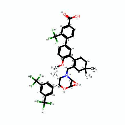 COc1ccc(-c2ccc(C(=O)O)cc2C(F)(F)F)cc1C1=C(CN2C3OC3O[C@H](c3cc(C(F)(F)F)cc(C(F)(F)F)c3)[C@@H]2C)CC(C)(C)CC1